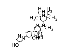 CN(c1ncc(-c2ccc(-n3cc(O)cn3)cc2O)nn1)C1CC(C)(C)NC(C)(C)C1.Cl.Cl